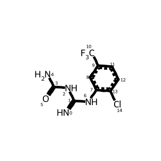 N=C(NC(N)=O)Nc1cc(C(F)(F)F)ccc1Cl